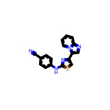 N#Cc1ccc(Nc2nc(-c3cnc4ccccn34)cs2)cc1